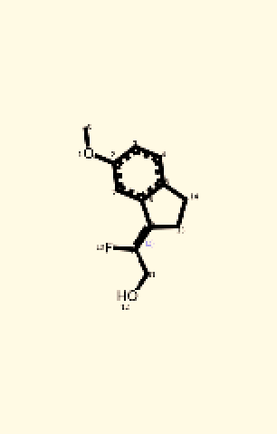 COc1ccc2c(c1)/C(=C(\F)CO)CC2